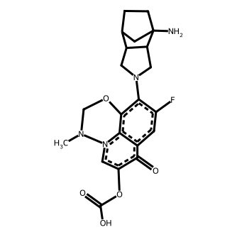 CN1COc2c(N3CC4C5CCC(N)(C5)C4C3)c(F)cc3c(=O)c(OC(=O)O)cn1c23